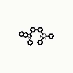 c1ccc(-c2nc(-c3ccccc3)nc(-c3cccc(-c4cccc(-c5cn(-c6ccccc6)c6cc7ccccc7cc56)c4)c3)n2)cc1